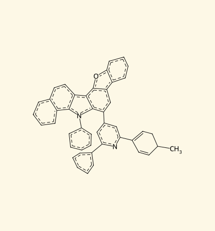 CC1C=CC(c2cc(-c3cc4c5ccccc5oc4c4c5ccc6ccccc6c5n(-c5ccccc5)c34)cc(-c3ccccc3)n2)=CC1